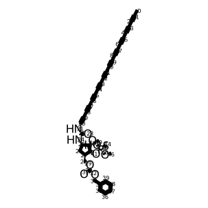 CC#CC#CC#CC#CC#CC#CC#CC#CC#CC#CNC(=O)N[C@H]1C[C@H](COC(=O)OCc2ccccc2)C(OP(O)(=S)OC)[C@@H]1OC